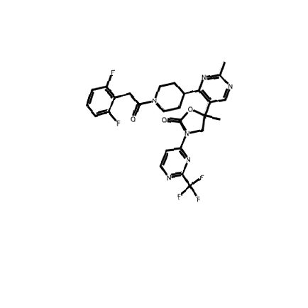 Cc1ncc(C2(C)CN(c3ccnc(C(F)(F)F)n3)C(=O)O2)c(C2CCN(C(=O)Cc3c(F)cccc3F)CC2)n1